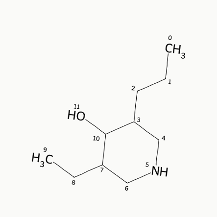 CCCC1CNCC(CC)C1O